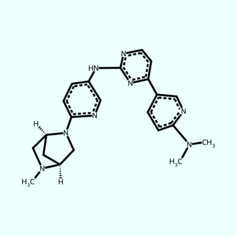 CN(C)c1ccc(-c2ccnc(Nc3ccc(N4C[C@@H]5C[C@H]4CN5C)nc3)n2)cn1